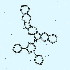 c1ccc(-c2cc(-n3c4cc5ccccc5cc4c4cc5c(cc43)oc3cc4ccccc4cc35)nc(-c3ccccc3)n2)cc1